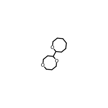 C1CCCC([C]2CCOCCCO2)OCC1